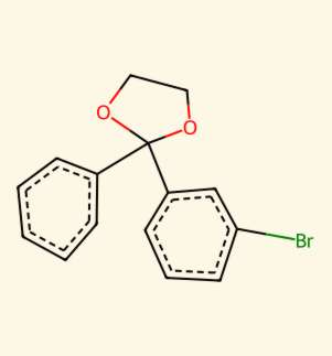 Brc1cccc(C2(c3ccccc3)OCCO2)c1